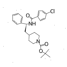 CC(C)(C)OC(=O)N1CCC(C[C@H](NC(=O)c2ccc(Cl)cc2)c2ccccc2)CC1